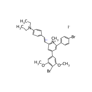 CCN(CC)c1ccc(/C=C/c2cc(-c3cc(OC)c(Br)c(OC)c3)cc(-c3ccc(Br)cc3)[n+]2C)cc1.[I-]